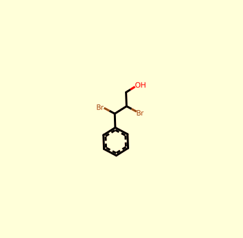 OCC(Br)C(Br)c1ccccc1